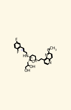 COc1ccc2nccc(CC[C@@H]3CC[C@@H](NC/C=C/c4cc(F)ccc4F)[C@@H](CC(O)CO)O3)c2n1